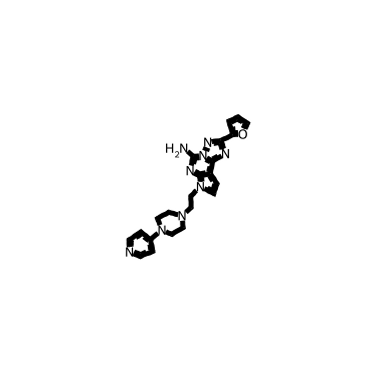 Nc1nc2c(ccn2CCN2CCN(c3ccncc3)CC2)c2nc(-c3ccco3)nn12